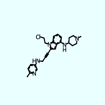 Cc1ccc(NCC#Cc2cc3c(NC4CCN(C)CC4)cccc3n2CCCl)cn1